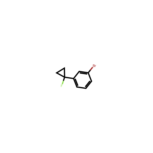 FC1(c2cccc(Br)c2)CC1